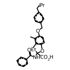 CCC(NC(=O)c1ccccc1)(Oc1ccc(OCc2ccc(CC(C)C)cc2)c(C)c1C)C(=O)O